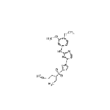 C#CCCC(CC)S(=O)(=O)c1ccc(-c2ccnc(Nc3ccc(OC)c(OC)c3)n2)s1